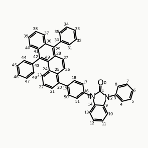 O=c1n(-c2ccccc2)c2ccccc2n1-c1ccc(-c2cccc3c2ccc2c(-c4ccccc4)c4ccccc4c(-c4ccccc4)c23)cc1